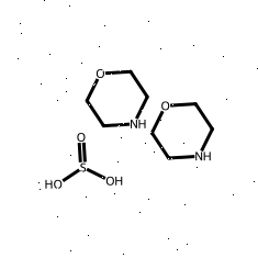 C1COCCN1.C1COCCN1.O=S(O)O